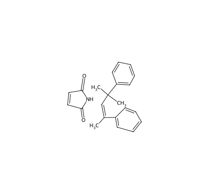 CC(=CC(C)(C)c1ccccc1)c1ccccc1.O=C1C=CC(=O)N1